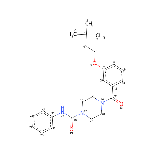 CC(C)(C)CCOc1cccc(C(=O)N2CCN(C(=O)Nc3ccccc3)CC2)c1